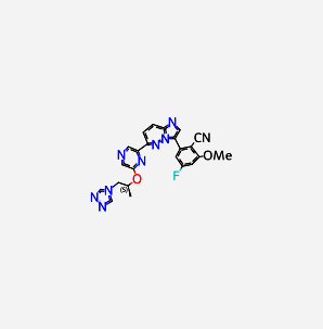 COc1cc(F)cc(-c2cnc3ccc(-c4cncc(O[C@@H](C)Cn5cnnc5)n4)nn23)c1C#N